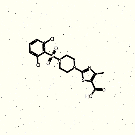 Cc1nc(N2CCN(S(=O)(=O)c3c(Cl)cccc3Cl)CC2)sc1C(=O)O